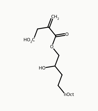 C=C(CC(=O)O)C(=O)OCC(O)CCCCCCCCCC